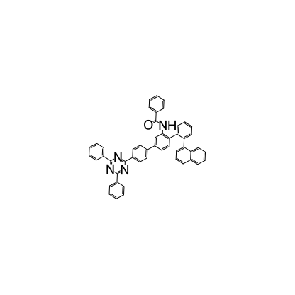 O=C(Nc1cc(-c2ccc(-c3nc(-c4ccccc4)nc(-c4ccccc4)n3)cc2)ccc1-c1ccccc1-c1cccc2ccccc12)c1ccccc1